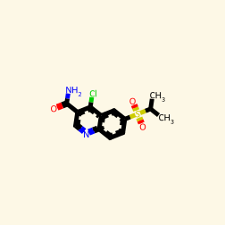 CC(C)S(=O)(=O)c1ccc2ncc(C(N)=O)c(Cl)c2c1